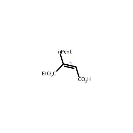 CCCCC/C(=C/C(=O)O)C(=O)OCC